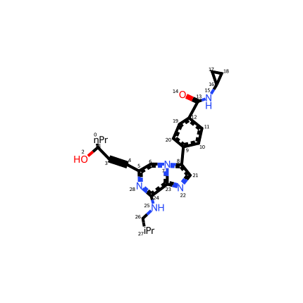 CCCC(O)C#Cc1cn2c(-c3ccc(C(=O)NC4CC4)cc3)cnc2c(NCC(C)C)n1